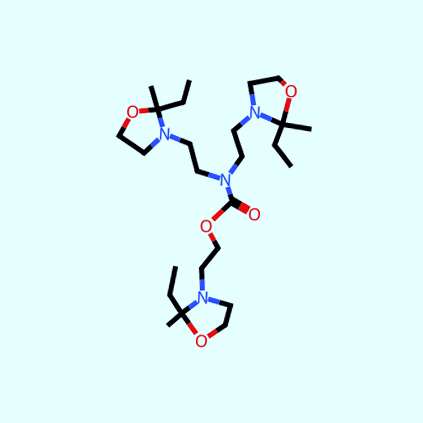 CCC1(C)OCCN1CCOC(=O)N(CCN1CCOC1(C)CC)CCN1CCOC1(C)CC